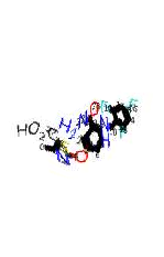 Cc1nc(Oc2ccc(NCc3c(F)cc(F)cc3F)c(C(N)=O)c2)sc1C(=O)O